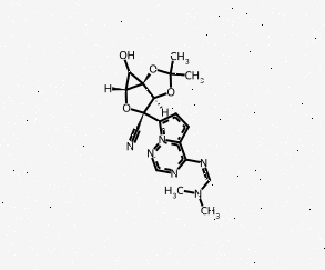 CN(C)/C=N\c1ncnn2c([C@]3(C#N)O[C@@H]4C(O)[C@@]45OC(C)(C)O[C@H]53)ccc12